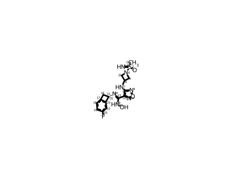 C[S@@](=N)(=O)N1CC(Nc2nonc2C(=N[C@H]2Cc3ccc(F)cc32)NO)C1